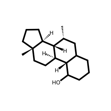 C[C@@H]1CC2CCCC(O)[C@@H]2[C@H]2CC[C@]3(C)CCC[C@H]3[C@@H]21